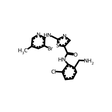 Cc1cnc(Nc2ncc(C(=O)Nc3c(Cl)cccc3CN)s2)c(Br)c1